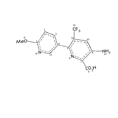 COc1ccc(-c2nc(C(=O)O)c(N)cc2C(F)(F)F)cn1